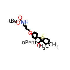 CCCCCC(=O)c1c(-c2ccc(OCCCCNC(=O)OC(C)(C)C)cc2)sc2c1CC(C)(C)CC2